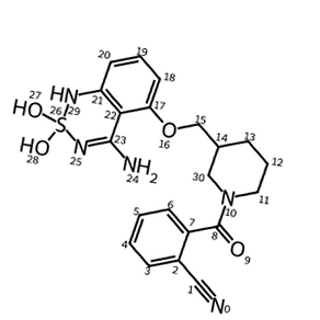 N#Cc1ccccc1C(=O)N1CCCC(COc2cccc3c2C(N)=NS(O)(O)N3)C1